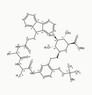 COC(=O)[C@H]1O[C@@H](CCc2cc(NC(=O)C(C)NC(=O)C(NC(=O)OCC3c4ccccc4-c4ccccc43)C(C)C)ccc2CO[Si](C)(C)C(C)(C)C)[C@H](OC(C)=O)[C@@H](OC(C)=O)[C@@H]1OC(C)=O